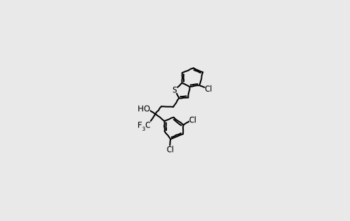 OC(CCc1cc2c(Cl)cccc2s1)(c1cc(Cl)cc(Cl)c1)C(F)(F)F